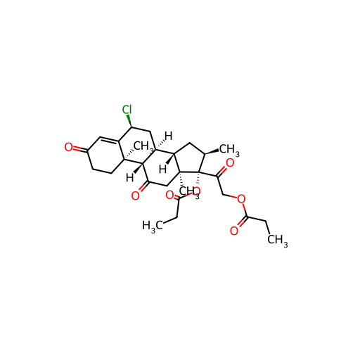 CCC(=O)OCC(=O)[C@]1(OC(=O)CC)[C@H](C)C[C@H]2[C@@H]3C[C@H](Cl)C4=CC(=O)CC[C@]4(C)[C@H]3C(=O)C[C@@]21C